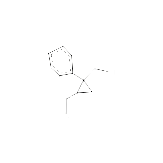 OCC1CC1(CO)c1ccccc1